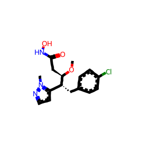 CO[C@H](CC(=O)NO)[C@H](Cc1ccc(Cl)cc1)c1ccnn1C